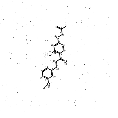 C=C(C)COc1ccc(C(=O)C=Cc2cccc(OC)c2)c(O)c1